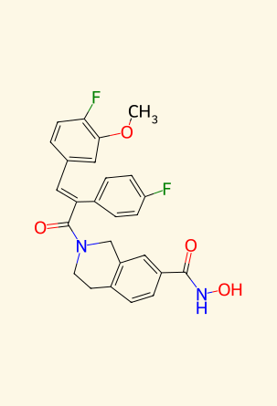 COc1cc(C=C(C(=O)N2CCc3ccc(C(=O)NO)cc3C2)c2ccc(F)cc2)ccc1F